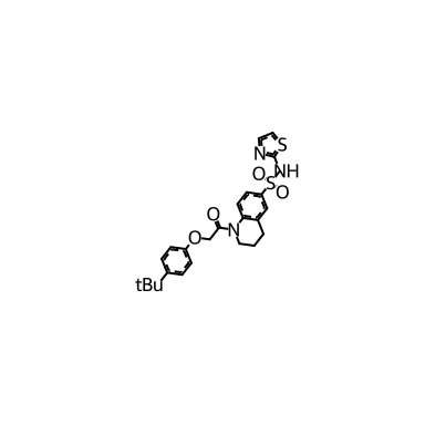 CC(C)(C)c1ccc(OCC(=O)N2CCCc3cc(S(=O)(=O)Nc4nccs4)ccc32)cc1